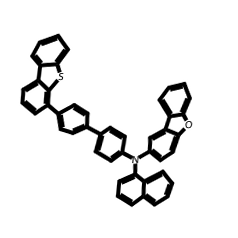 c1ccc2c(N(c3ccc(-c4ccc(-c5cccc6c5sc5ccccc56)cc4)cc3)c3ccc4oc5ccccc5c4c3)cccc2c1